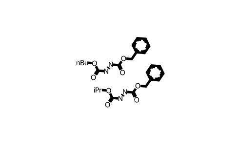 CC(C)OC(=O)N=NC(=O)OCc1ccccc1.CCCCOC(=O)N=NC(=O)OCc1ccccc1